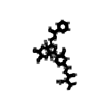 CC(C)[C@@H](N)C(=O)ONc1ccn([C@@H]2O[C@H](COC(=O)c3ccccc3)[C@H]3OC(=O)C(=O)O[C@H]32)c(=O)n1